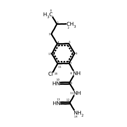 CC(C)Cc1ccc(NC(=N)NC(=N)N)c(Cl)c1